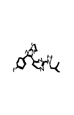 CC(C)CNc1nccc(-c2c(-c3ccc(F)cc3)nc3sccn23)n1